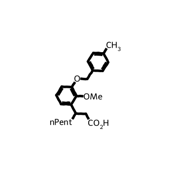 CCCCCC(CC(=O)O)c1cccc(OCc2ccc(C)cc2)c1OC